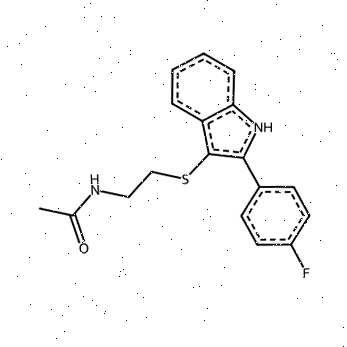 CC(=O)NCCSc1c(-c2ccc(F)cc2)[nH]c2ccccc12